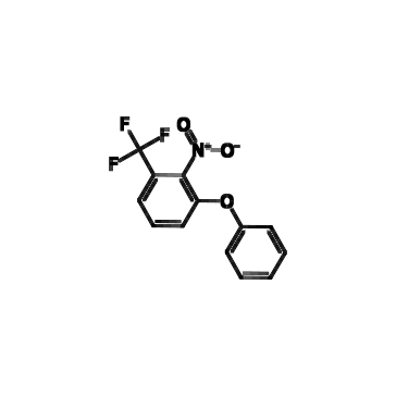 O=[N+]([O-])c1c(Oc2ccccc2)cccc1C(F)(F)F